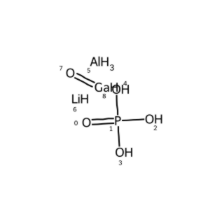 O=P(O)(O)O.[AlH3].[LiH].[O]=[GaH]